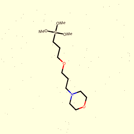 CO[Si](CCCOC[CH]CN1CCOCC1)(OC)OC